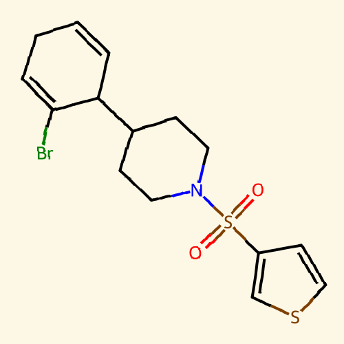 O=S(=O)(c1ccsc1)N1CCC(C2C=CCC=C2Br)CC1